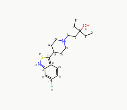 CCC(O)(CC)CCN1CCC(c2snc3cc(F)ccc23)CC1